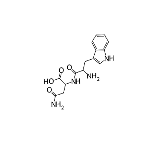 NC(=O)CC(NC(=O)C(N)Cc1c[nH]c2ccccc12)C(=O)O